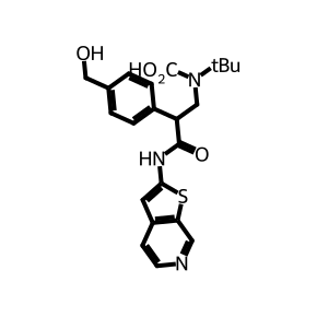 CC(C)(C)N(CC(C(=O)Nc1cc2ccncc2s1)c1ccc(CO)cc1)C(=O)O